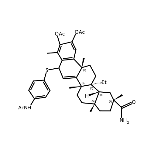 CC[C@@]12CC[C@]3(C)C(=CC(Sc4ccc(NC(C)=O)cc4)c4c3cc(OC(C)=O)c(OC(C)=O)c4C)[C@@]1(C)CC[C@@]1(C)CC[C@@](C)(C(N)=O)C[C@H]12